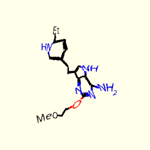 CCC1C=CC(Cc2c[nH]c3c(N)nc(OCCOC)nc23)=CN1